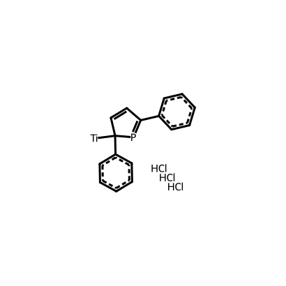 Cl.Cl.Cl.[Ti][C]1(c2ccccc2)C=CC(c2ccccc2)=P1